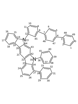 c1ccc(-c2ccc(-c3cccc(-n4c5ccccc5c5cc6c7cccc(-c8ccccc8)c7n(-c7ccccc7)c6cc54)c3)cc2)cc1